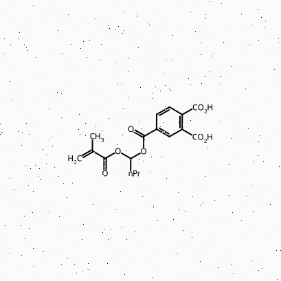 C=C(C)C(=O)OC(CCC)OC(=O)c1ccc(C(=O)O)c(C(=O)O)c1